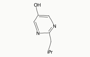 CC(C)Cc1ncc(O)cn1